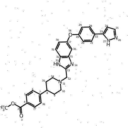 COC(=O)c1ccc(C2CCN(Cc3nc4cc(Oc5ccc(-c6ccn[nH]6)cc5)ccc4[nH]3)CC2)cc1